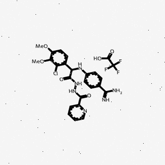 COc1ccc(C(Nc2ccc(C(=N)N)cc2)C(=O)NNC(=O)c2ccccn2)c(Cl)c1OC.O=C(O)C(F)(F)F